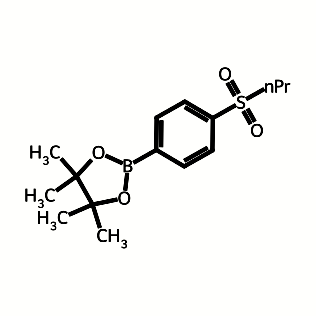 CCCS(=O)(=O)c1ccc(B2OC(C)(C)C(C)(C)O2)cc1